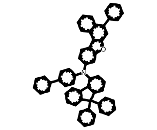 c1ccc(-c2ccc(N(c3ccc4c(c3)oc3cc(-c5ccccc5)c5ccccc5c34)c3cccc4c3-c3ccccc3C4(c3ccccc3)c3ccccc3)cc2)cc1